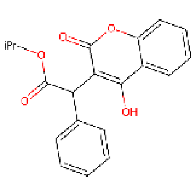 CC(C)OC(=O)C(c1ccccc1)c1c(O)c2ccccc2oc1=O